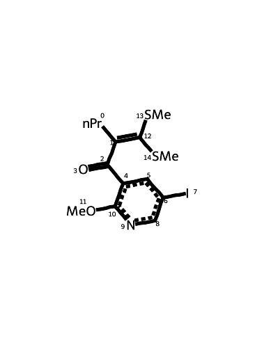 CCCC(C(=O)c1cc(I)cnc1OC)=C(SC)SC